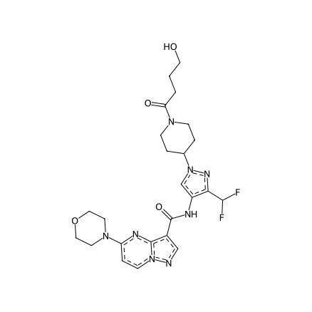 O=C(Nc1cn(C2CCN(C(=O)CCCO)CC2)nc1C(F)F)c1cnn2ccc(N3CCOCC3)nc12